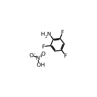 Nc1c(F)cc(F)cc1F.O=[N+]([O-])O